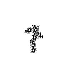 O=C(CN1CCC(CO)(C(=O)Nc2ccc3[nH]nc(-c4ccc(F)cc4)c3c2)C1)N1CC=C(c2ccccc2)CC1